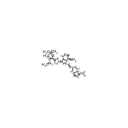 COC[C@H]1C[C@H](n2cc(C#Cc3ccc4c(c3)ncn4C3CC3)c3c(N)nccc32)CN1C(=O)OC(C)(C)C